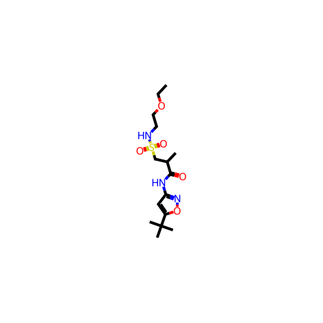 CCOCCNS(=O)(=O)CC(C)C(=O)Nc1cc(C(C)(C)C)on1